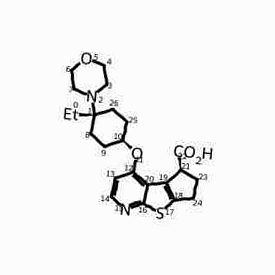 CC[C@]1(N2CCOCC2)CC[C@H](Oc2ccnc3sc4c(c23)[C@@H](C(=O)O)CC4)CC1